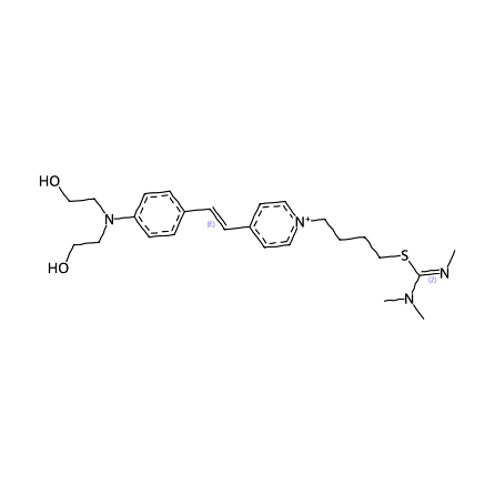 C/N=C(\SCCCC[n+]1ccc(/C=C/c2ccc(N(CCO)CCO)cc2)cc1)N(C)C